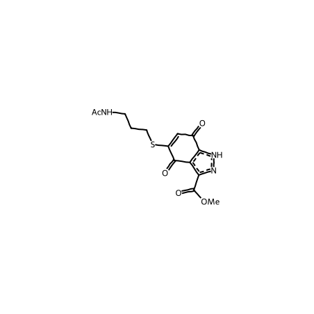 COC(=O)c1n[nH]c2c1C(=O)C(SCCCNC(C)=O)=CC2=O